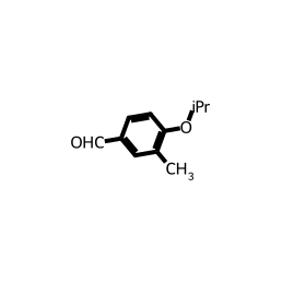 Cc1cc(C=O)ccc1OC(C)C